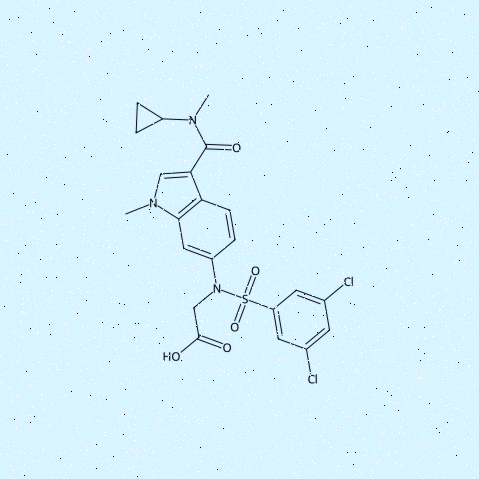 CN(C(=O)c1cn(C)c2cc(N(CC(=O)O)S(=O)(=O)c3cc(Cl)cc(Cl)c3)ccc12)C1CC1